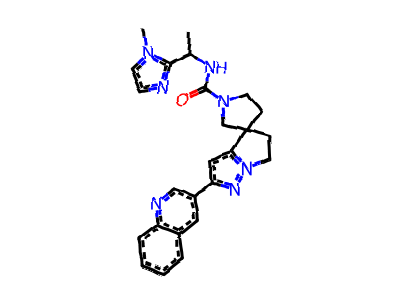 CC(NC(=O)N1CCC2(CCn3nc(-c4cnc5ccccc5c4)cc32)C1)c1nccn1C